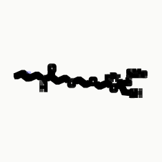 C/C=C/CNC(=O)CCOCCOCCOC(CS)(CCC)SSC